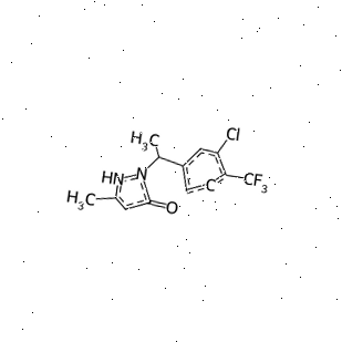 Cc1cc(=O)n(C(C)c2ccc(C(F)(F)F)c(Cl)c2)[nH]1